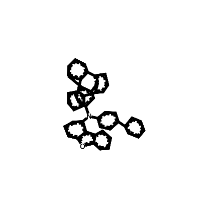 c1ccc(-c2ccc(N(c3ccc4c(c3)-c3c5cccc3-c3cccc-4c3-c3ccccc3-5)c3cccc4oc5ccccc5c34)cc2)cc1